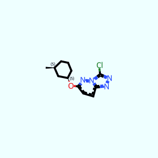 C[C@H]1CCC[C@H](Oc2ccc3nnc(Cl)n3n2)C1